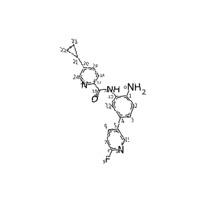 Nc1ccc(-c2ccc(F)nc2)cc1NC(=O)c1ccc(C2CC2)cn1